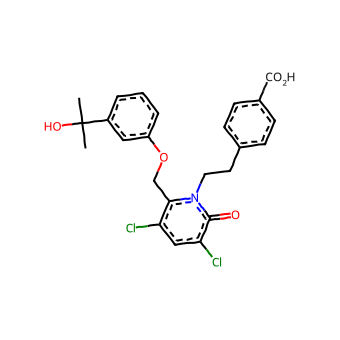 CC(C)(O)c1cccc(OCc2c(Cl)cc(Cl)c(=O)n2CCc2ccc(C(=O)O)cc2)c1